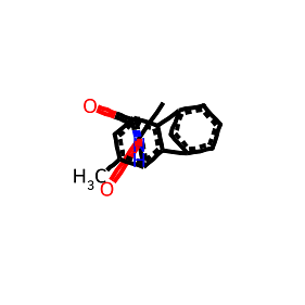 Cc1cc2c3c(c1c(=O)[nH]c2=O)-c1cccc-3c1